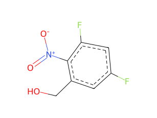 O=[N+]([O-])c1c(F)cc(F)cc1CO